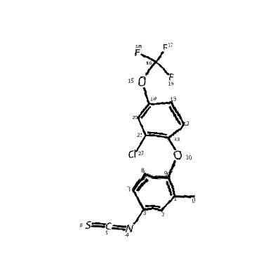 Cc1cc(N=C=S)ccc1Oc1ccc(OC(F)(F)F)cc1Cl